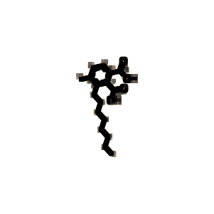 CCCCCCCCc1c(C)ccc(C(=O)O)c1C(=O)O